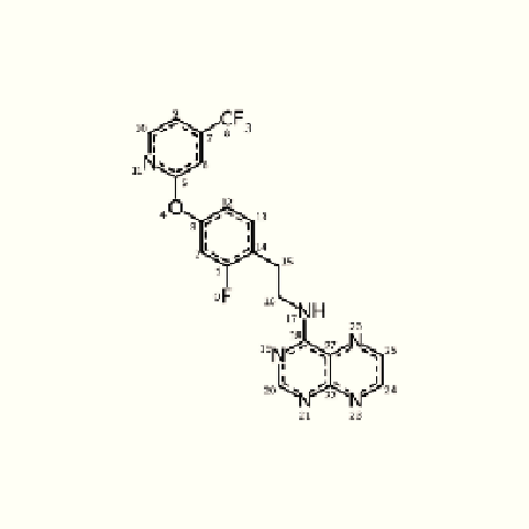 Fc1cc(Oc2cc(C(F)(F)F)ccn2)ccc1CCNc1ncnc2nccnc12